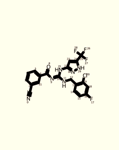 N#Cc1cccc(C(=O)/N=C(/NCc2ccc(F)cc2Cl)Nc2cc(C(F)(F)F)[nH]n2)c1